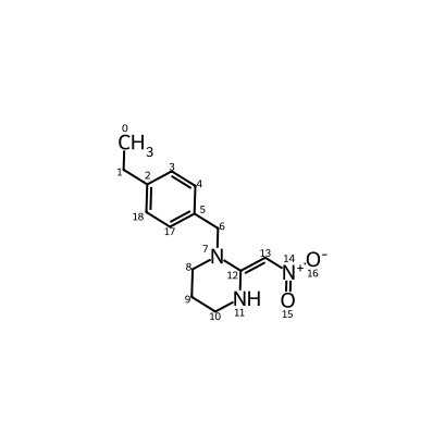 CCc1ccc(CN2CCCNC2=C[N+](=O)[O-])cc1